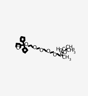 CN(CCOCCOCCOCCOCCCOC(c1ccccc1)(c1ccccc1)c1ccccc1)C(=O)OC(C)(C)C